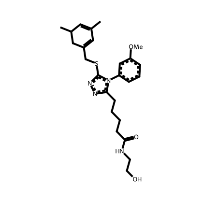 COc1cccc(-n2c(CCCCC(=O)NCCO)nnc2SCC2=CC(C)=CC(C)C2)c1